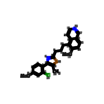 COc1ccc(-c2nc(CCCc3c(OC)ccc4cnccc34)sc2C)c(Cl)c1